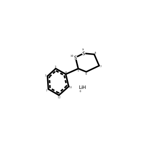 [LiH].c1ccc(C2CCCSS2)cc1